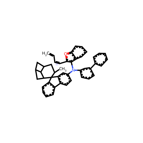 C=C/C=C\c1oc2ccccc2c1N(c1cccc(-c2ccccc2)c1)c1ccc2c(c1)C1(c3ccccc3-2)C(C)CC2CC3CC1C23